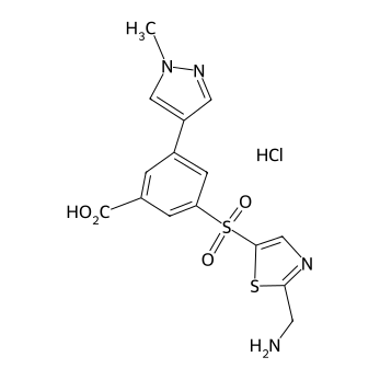 Cl.Cn1cc(-c2cc(C(=O)O)cc(S(=O)(=O)c3cnc(CN)s3)c2)cn1